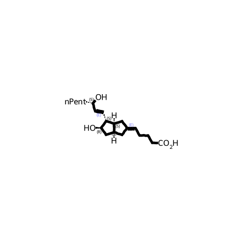 CCCCC[C@H](O)/C=C/[C@@H]1[C@H]2C/C(=C/CCCC(=O)O)C[C@H]2C[C@H]1O